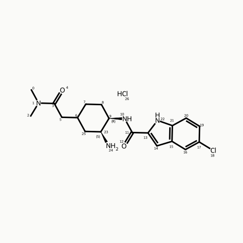 CN(C)C(=O)CC1CC[C@@H](NC(=O)c2cc3cc(Cl)ccc3[nH]2)[C@@H](N)C1.Cl